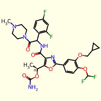 C[C@H](OC(N)=O)c1oc(-c2ccc(OC(F)F)c(OCC3CC3)c2)nc1C(=O)NC(C(=O)N1CCN(C)CC1)c1ccc(F)cc1F